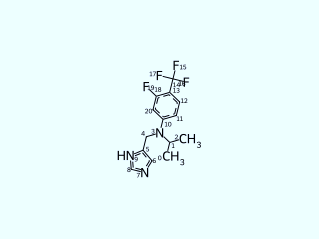 CC(C)N(Cc1cnc[nH]1)c1ccc(C(F)(F)F)c(F)c1